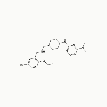 CCOc1ccc(Br)cc1CNCC1CCC(Nc2nccc(N(C)C)n2)CC1